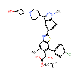 Cc1cc2nc(-c3ccc4c(c3)c(C3CCN(C5CC(O)C5)CC3)nn4C)sc2c(-c2ccc(Cl)cc2)c1[C@H](OC(C)(C)C)C(=O)O